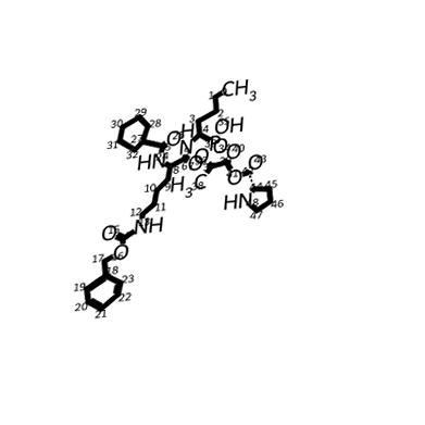 CCCCC(NC(=O)C(CCCCNC(=O)OCc1ccccc1)NC(=O)C1CCCCC1)P(=O)(O)OC(C)C(=O)OC(=O)[C@@H]1CCCN1